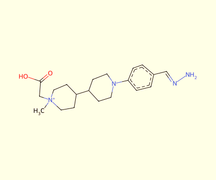 C[N+]1(CC(=O)O)CCC(C2CCN(c3ccc(C=NN)cc3)CC2)CC1